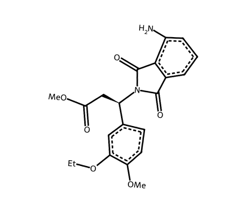 CCOc1cc([C@@H](CC(=O)OC)N2C(=O)c3cccc(N)c3C2=O)ccc1OC